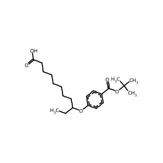 CCC(CCCCCCCC(=O)O)Oc1ccc(C(=O)OC(C)(C)C)cc1